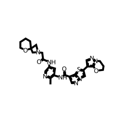 Cc1ncc(NC(=O)CN2CC3(CCCCO3)C2)cc1NC(=O)c1cnn2cc(-c3cnn4c3OCCC4)sc12